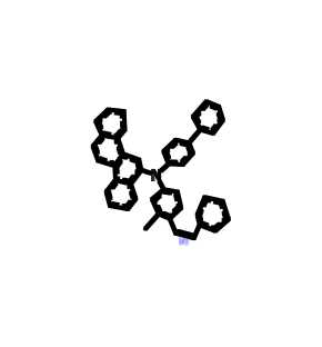 Cc1cc(N(c2ccc(-c3ccccc3)cc2)c2cc3c4ccccc4ccc3c3ccccc23)ccc1/C=C\c1ccccc1